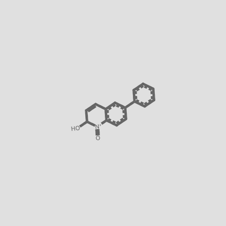 O=[N+]1c2ccc(-c3ccccc3)cc2C=CC1O